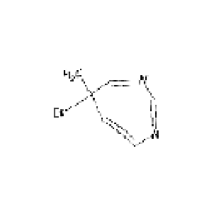 CCC1(C)C=CN=CN=C1